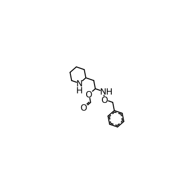 O=COC(CC1CCCCN1)NOCc1ccccc1